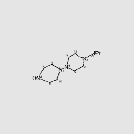 CC(C)N1CCN(N2CCNCC2)CC1